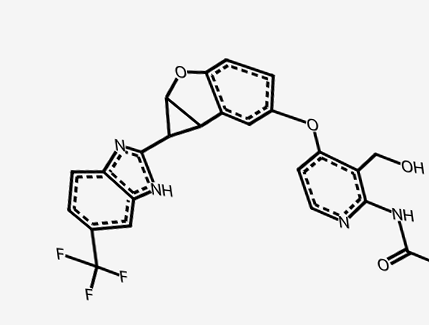 CC(=O)Nc1nccc(Oc2ccc3c(c2)C2C(O3)C2c2nc3ccc(C(F)(F)F)cc3[nH]2)c1CO